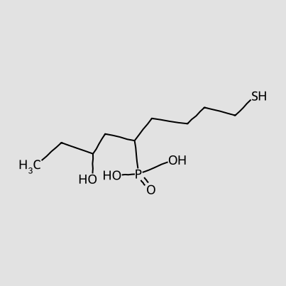 CCC(O)CC(CCCCS)P(=O)(O)O